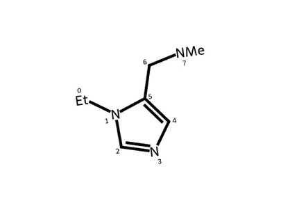 CCn1cncc1CNC